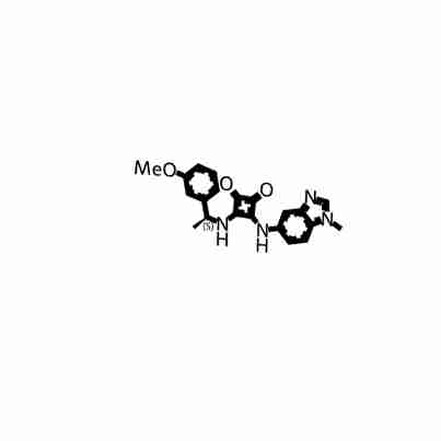 COc1cccc([C@H](C)Nc2c(Nc3ccc4c(c3)ncn4C)c(=O)c2=O)c1